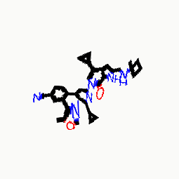 Cc1ocnc1-c1cc(C#N)ccc1-c1cc(C2CC2)nc(-n2cc(C3CC3)c3cc(CNC4(C)CCC4)[nH]c3c2=O)c1